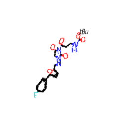 CC(C)(C)OC(=O)NCCC(=O)N1C(=O)CN(N=Cc2ccc(-c3ccc(F)cc3)o2)C1=O